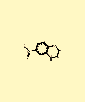 O=[N+]([O-])c1ccc2c(c1)NC[CH]O2